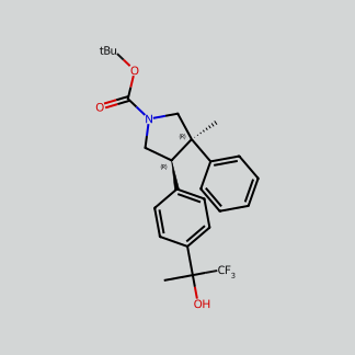 CC(C)(C)OC(=O)N1C[C@H](c2ccc(C(C)(O)C(F)(F)F)cc2)[C@](C)(c2ccccc2)C1